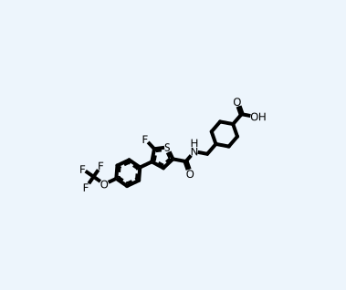 O=C(NCC1CCC(C(=O)O)CC1)c1cc(-c2ccc(OC(F)(F)F)cc2)c(F)s1